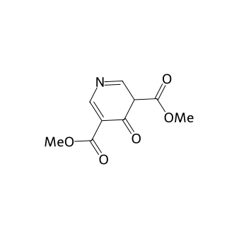 COC(=O)C1=CN=CC(C(=O)OC)C1=O